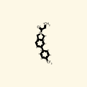 C=CC(=O)N1Cc2ccc(-c3ccc(C(F)(F)F)cc3)cc2C1